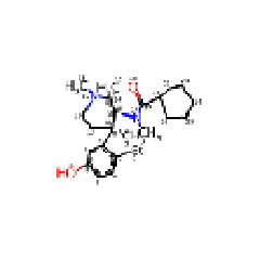 CCc1ccc(O)cc1[C@@]1(C)CCN(C)[C@H](C)[C@H]1N(C)C(=O)C1CCCCC1